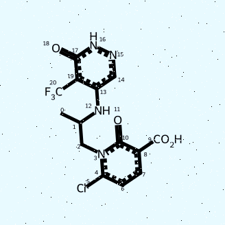 CC(Cn1c(Cl)ccc(C(=O)O)c1=O)Nc1cn[nH]c(=O)c1C(F)(F)F